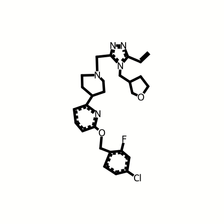 C=Cc1nnc(CN2CCC(c3cccc(OCc4ccc(Cl)cc4F)n3)CC2)n1CC1CCOC1